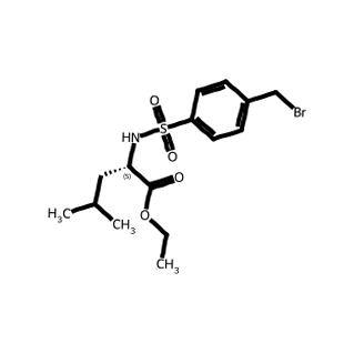 CCOC(=O)[C@H](CC(C)C)NS(=O)(=O)c1ccc(CBr)cc1